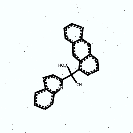 N#CC(C(=O)O)(c1ccc2ccccc2n1)c1cccc2cc3ccccc3cc12